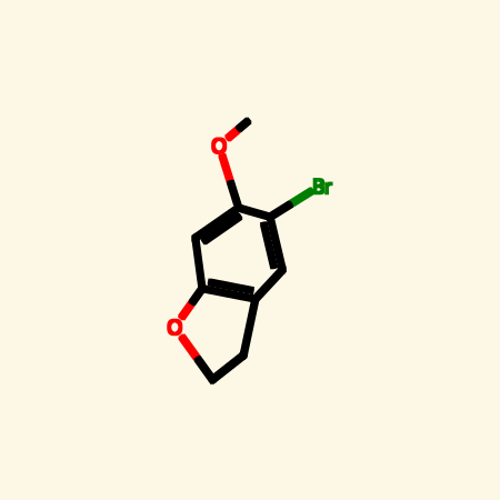 COc1cc2c(cc1Br)CCO2